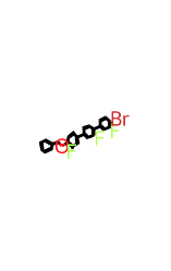 Fc1cc(-c2ccc(-c3ccc(OCc4ccccc4)c(F)c3)cc2F)ccc1Br